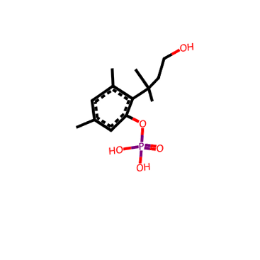 Cc1cc(C)c(C(C)(C)CCO)c(OP(=O)(O)O)c1